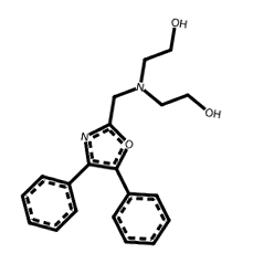 OCCN(CCO)Cc1nc(-c2ccccc2)c(-c2ccccc2)o1